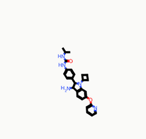 CC(C)NC(=O)Nc1ccc(C2C(N)c3ccc(Oc4ccccn4)cc3N2C2CCC2)cc1